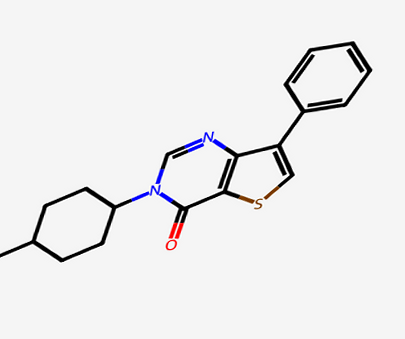 CC1CCC(n2cnc3c(-c4ccccc4)csc3c2=O)CC1